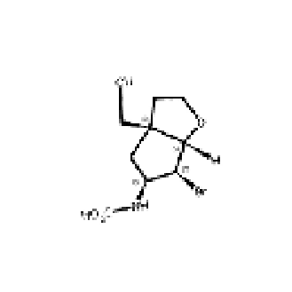 O=C(O)N[C@H]1C[C@]2(CO)CCO[C@@H]2[C@H]1Br